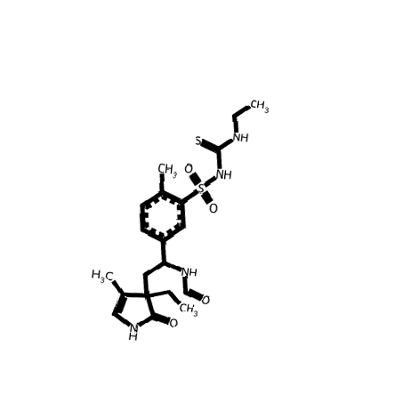 CCNC(=S)NS(=O)(=O)c1cc(C(CC2(CC)C(=O)NC=C2C)NC=O)ccc1C